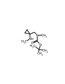 CNC1(CN(C)C(=O)OC(C)(C)C)CC1